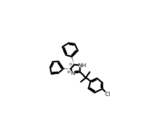 CC(C)(C1=N[C@H](c2ccccc2)[C@H](c2ccccc2)N1)c1ccc(Cl)cc1